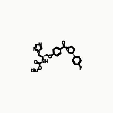 CC(C)(C)OC(=O)N[C@@H](COc1ccc(C(=O)N2CC[C@H](c3ccc(F)cc3)C2)cc1)Cn1cncn1